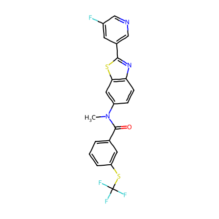 CN(C(=O)c1cccc(SC(F)(F)F)c1)c1ccc2nc(-c3cncc(F)c3)sc2c1